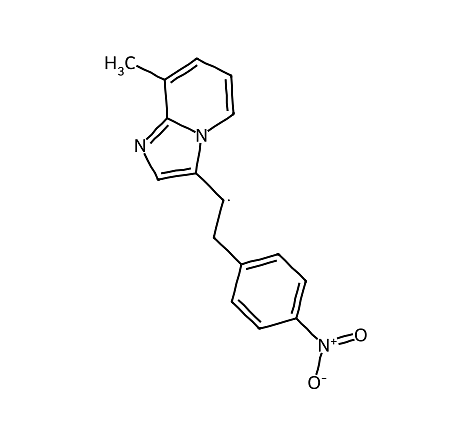 Cc1cccn2c([CH]Cc3ccc([N+](=O)[O-])cc3)cnc12